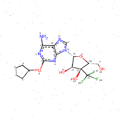 Nc1nc(OC2CCCC2)nc2c1ncn2[C@@H]1O[C@H](CO)[C@](O)(C(F)(F)F)[C@H]1O